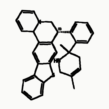 CC1=CCC(C)(c2ccccc2[C@H]2CN3C=CC=CC3c3cc4c(cc32)sc2ccccc24)NC1